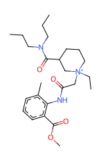 CCCN(CCC)C(=O)C1CCC[N+](CC)(CC(=O)Nc2c(C)cccc2C(=O)OC)C1